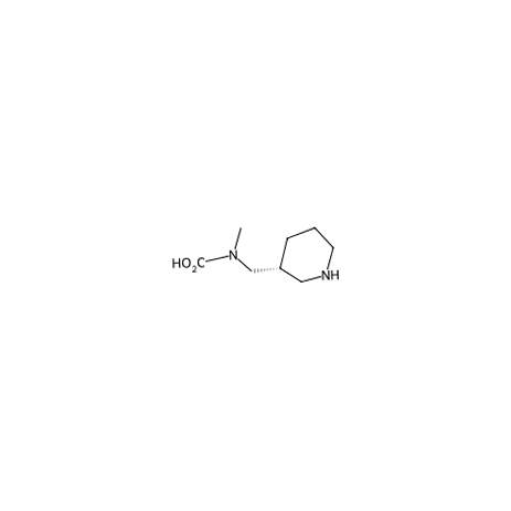 CN(C[C@@H]1CCCNC1)C(=O)O